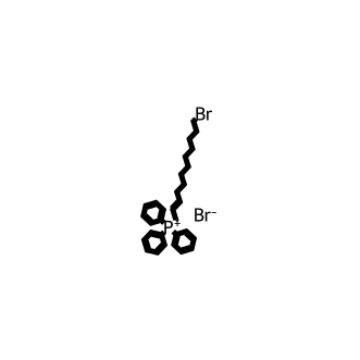 BrCCCCCCCCCC=CC[P+](c1ccccc1)(c1ccccc1)c1ccccc1.[Br-]